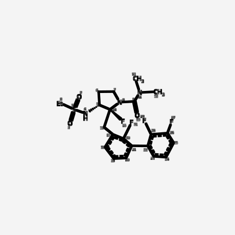 CCS(=O)(=O)N[C@@H]1CCN(C(=O)N(C)C)[C@]1(F)Cc1cccc(-c2cccc(F)c2F)c1F